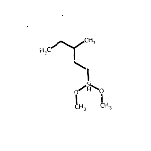 CCC(C)CC[SiH](OC)OC